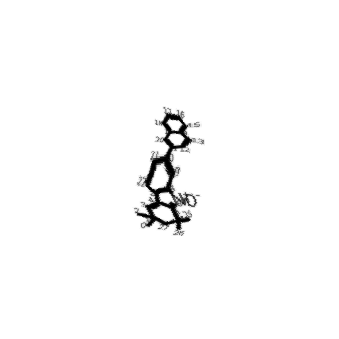 CC1(C)C=C2C(=[N+]([O-])c3cc(-c4ccc5ccccc5c4)ccc32)C(C)(C)C1